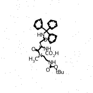 CN(CCNC(=O)OC(C)(C)C)C(=O)[C@@H](CC(=O)NC(c1ccccc1)(c1ccccc1)c1ccccc1)NC(=O)O